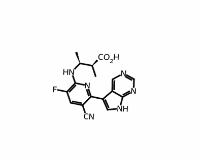 C[C@H](Nc1nc(-c2c[nH]c3ncncc23)c(C#N)cc1F)[C@H](C)C(=O)O